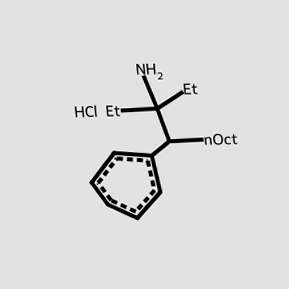 CCCCCCCCC(c1ccccc1)C(N)(CC)CC.Cl